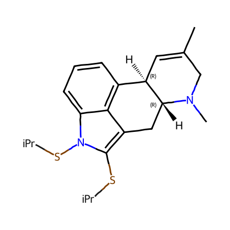 CC1=C[C@@H]2c3cccc4c3c(c(SC(C)C)n4SC(C)C)C[C@H]2N(C)C1